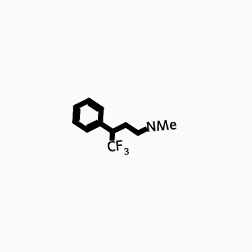 CNCCC(c1ccccc1)C(F)(F)F